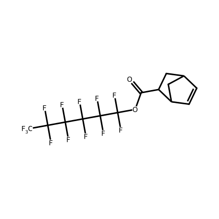 O=C(OC(F)(F)C(F)(F)C(F)(F)C(F)(F)C(F)(F)C(F)(F)F)C1CC2C=CC1C2